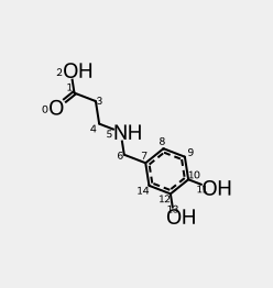 O=C(O)CCNCc1ccc(O)c(O)c1